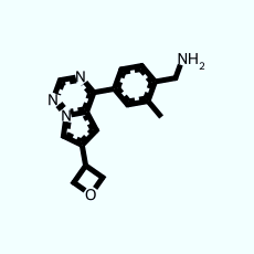 Cc1cc(-c2ncnn3cc(C4COC4)cc23)ccc1CN